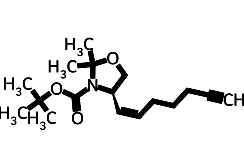 C#CCCC/C=C\[C@@H]1COC(C)(C)N1C(=O)OC(C)(C)C